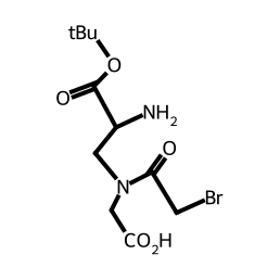 CC(C)(C)OC(=O)C(N)CN(CC(=O)O)C(=O)CBr